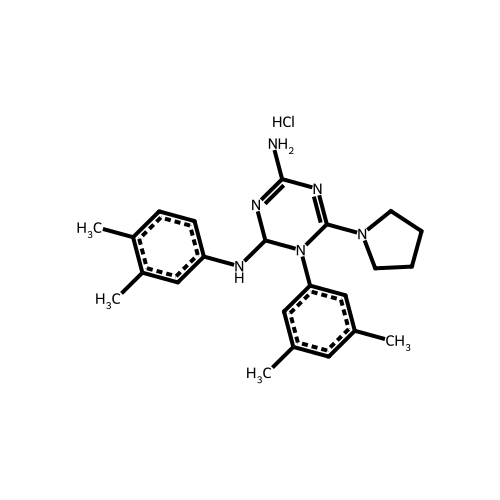 Cc1cc(C)cc(N2C(N3CCCC3)=NC(N)=NC2Nc2ccc(C)c(C)c2)c1.Cl